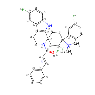 CN(C)C1(c2cccc(F)c2)CCC2(CC1(F)F)c1[nH]c3ccc(F)cc3c1CCN2C(=O)/C=C/c1ccccc1